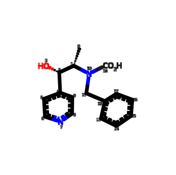 C[C@@H]([C@@H](O)c1ccncc1)N(Cc1ccccc1)C(=O)O